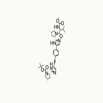 COC(=O)N[C@H](C(=O)N1C[C@@H](C)C[C@H]1c1ncc(-c2ccc(C#Cc3cnc([C@@H]4C[C@H](C)CN4C(=O)OC(C)(C)C)[nH]3)cc2)[nH]1)C(C)C